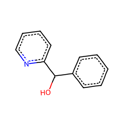 O[C](c1ccccc1)c1ccccn1